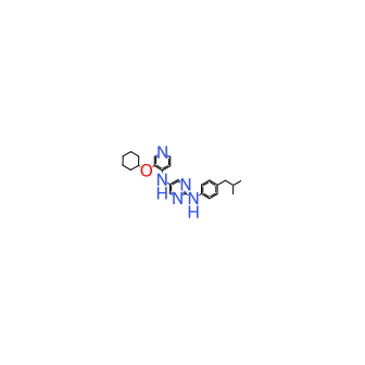 CC(C)Cc1ccc(Nc2ncc(Nc3ccncc3OC3CCCCC3)cn2)cc1